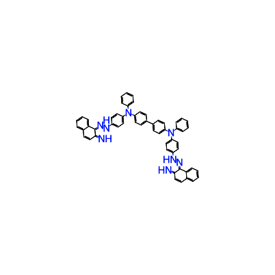 N=C1C=Cc2ccccc2/C1=N/Nc1ccc(N(c2ccccc2)c2ccc(-c3ccc(N(c4ccccc4)c4ccc(N/N=C5\C(=N)C=Cc6ccccc65)cc4)cc3)cc2)cc1